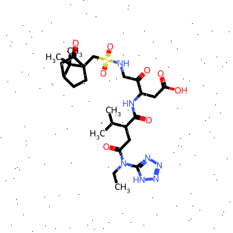 CCN(C(=O)CC(C(=O)NC(CC(=O)O)C(=O)CNS(=O)(=O)CC12CCC(CC1=O)C2(C)C)C(C)C)c1nnn[nH]1